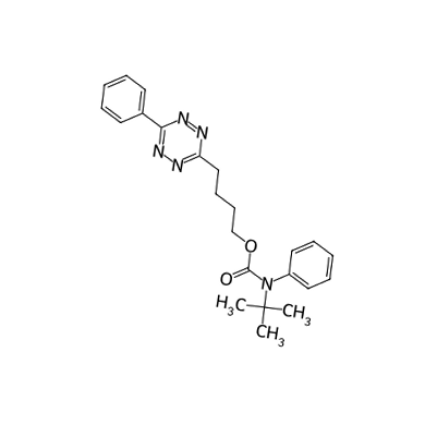 CC(C)(C)N(C(=O)OCCCCc1nnc(-c2ccccc2)nn1)c1ccccc1